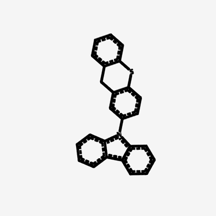 c1ccc2c(c1)Cc1cc(-n3c4ccccc4c4ccccc43)ccc1S2